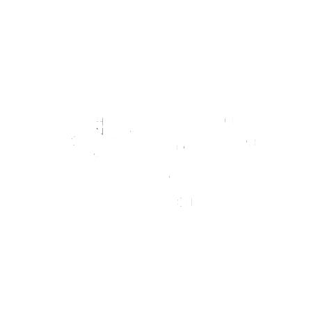 CCOc1cc(/C=C2/SC(=S)NC2=O)ccc1OCc1ccc(Cl)c(Cl)c1